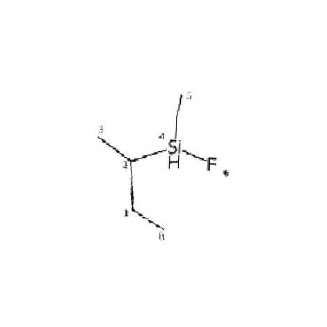 CCC(C)[SiH](C)F